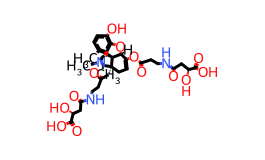 Cc1ccc(O)c2c1[C@]13CCN(C)[C@H](C)[C@]1(CC(=O)CCNC(=O)C[C@H](O)C(=O)O)CC=C(OC(=O)CCNC(=O)C[C@H](O)C(=O)O)[C@@H]3O2